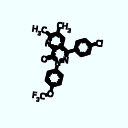 Cc1cc2c(-c3ccc(Cl)cc3)nn(-c3ccc(OC(F)(F)F)cc3)c(=O)c2nc1C